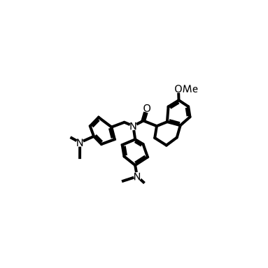 COc1ccc2c(c1)C(C(=O)N(Cc1ccc(N(C)C)cc1)c1ccc(N(C)C)cc1)CCC2